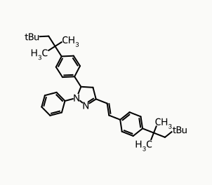 CC(C)(C)CC(C)(C)c1ccc(C=CC2=NN(c3ccccc3)C(c3ccc(C(C)(C)CC(C)(C)C)cc3)C2)cc1